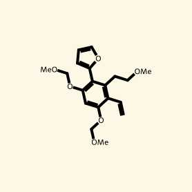 C=Cc1c(OCOC)cc(OCOC)c(-c2ccco2)c1CCOC